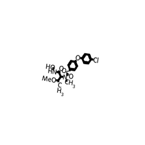 COC(C)C(C(=O)NO)N(C)S(=O)(=O)c1ccc(Oc2ccc(Cl)cc2)cc1